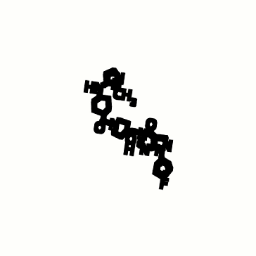 Cn1nccc1NC1CCC(C(=O)N2CCC(O)(Cn3cnc4c(cnn4-c4ccc(F)cc4)c3=O)CC2)CC1